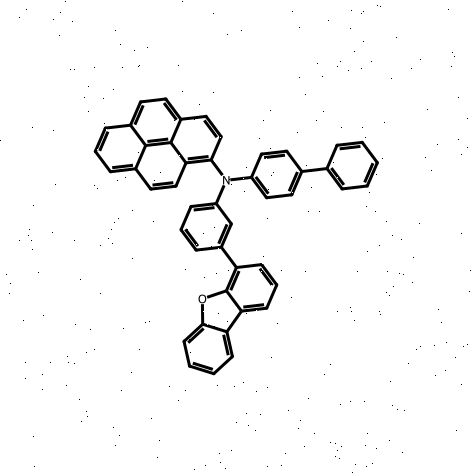 c1ccc(-c2ccc(N(c3cccc(-c4cccc5c4oc4ccccc45)c3)c3ccc4ccc5cccc6ccc3c4c56)cc2)cc1